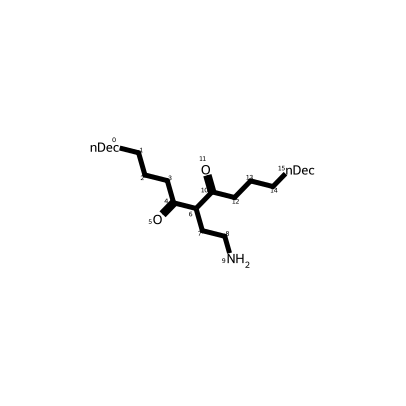 CCCCCCCCCCCCCC(=O)C(CCN)C(=O)CCCCCCCCCCCCC